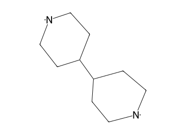 C1CC(C2CC[N]CC2)CC[N]1